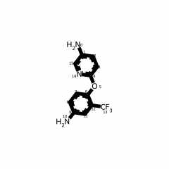 Nc1ccc(Oc2ccc(N)cc2C(F)(F)F)nc1